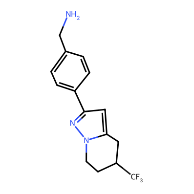 NCc1ccc(-c2cc3n(n2)CCC(C(F)(F)F)C3)cc1